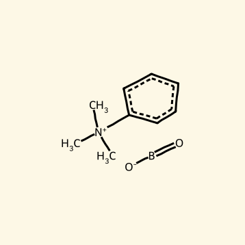 C[N+](C)(C)c1ccccc1.O=B[O-]